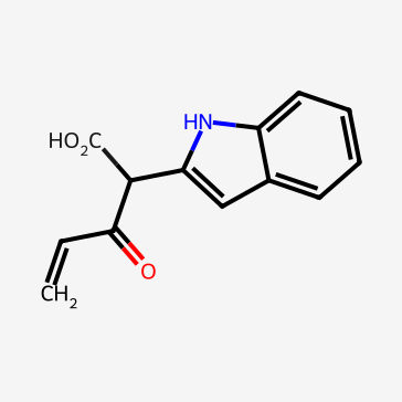 C=CC(=O)C(C(=O)O)c1cc2ccccc2[nH]1